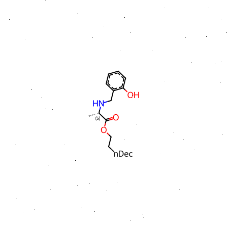 CCCCCCCCCCCCOC(=O)[C@H](C)NCc1ccccc1O